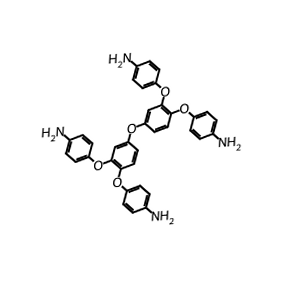 Nc1ccc(Oc2ccc(Oc3ccc(Oc4ccc(N)cc4)c(Oc4ccc(N)cc4)c3)cc2Oc2ccc(N)cc2)cc1